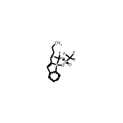 CCCCC1=Cc2ccccc2S1(OS(=O)(=O)C(F)(F)F)C(F)(F)F